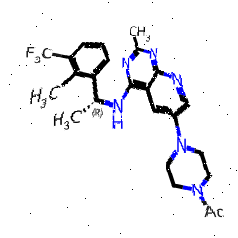 CC(=O)N1CCN(c2cnc3nc(C)nc(N[C@H](C)c4cccc(C(F)(F)F)c4C)c3c2)CC1